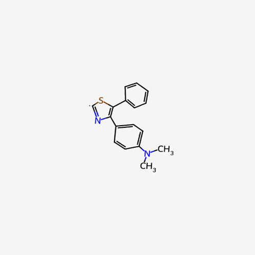 CN(C)c1ccc(-c2n[c]sc2-c2ccccc2)cc1